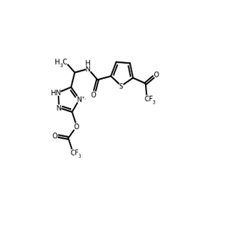 CC(NC(=O)c1ccc(C(=O)C(F)(F)F)s1)C1=[N+]C(OC(=O)C(F)(F)F)=NN1